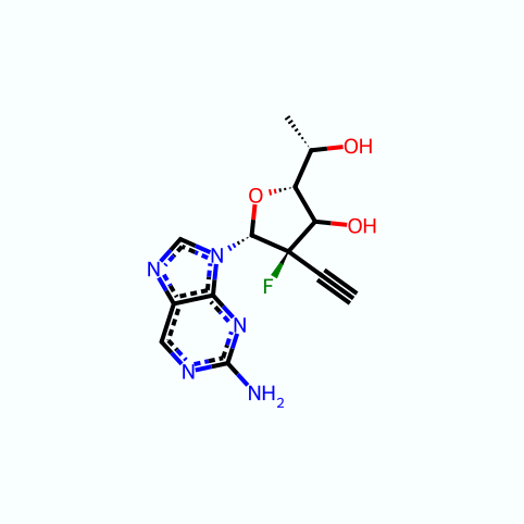 C#C[C@@]1(F)C(O)[C@@H]([C@H](C)O)O[C@H]1n1cnc2cnc(N)nc21